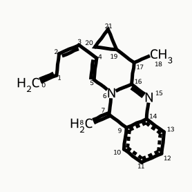 C=C/C=C\C=C\N1C(=C)c2ccccc2N=C1C(C)C1CC1